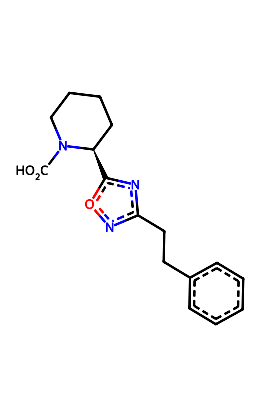 O=C(O)N1CCCC[C@H]1c1nc(CCc2ccccc2)no1